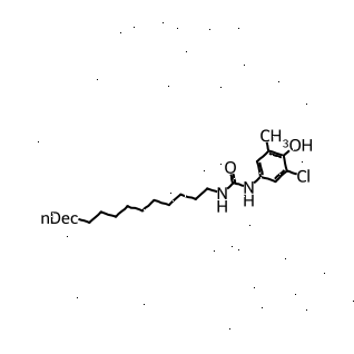 CCCCCCCCCCCCCCCCCCCCNC(=O)Nc1cc(C)c(O)c(Cl)c1